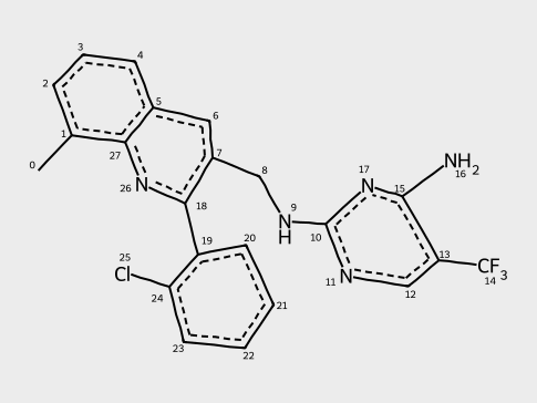 Cc1cccc2cc(CNc3ncc(C(F)(F)F)c(N)n3)c(-c3ccccc3Cl)nc12